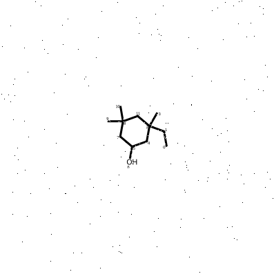 CCC1(C)CC(O)CC(C)(C)C1